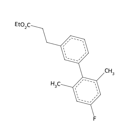 CCOC(=O)CCc1cccc(-c2c(C)cc(F)cc2C)c1